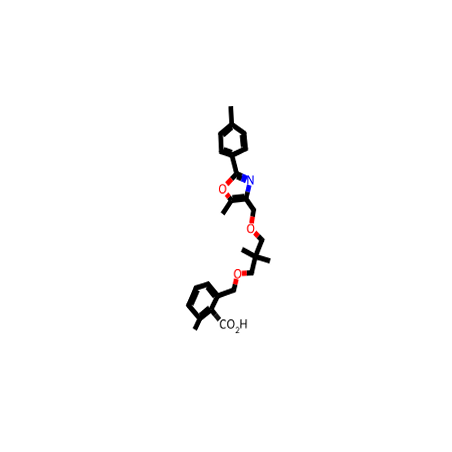 Cc1ccc(-c2nc(COCC(C)(C)COCc3cccc(C)c3C(=O)O)c(C)o2)cc1